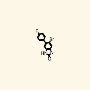 O=C1[N]c2cc(Br)c(-c3ccc(F)cc3)cc2N1